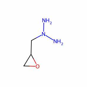 NN(N)CC1CO1